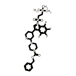 C[Si](C)(C)CCS(=O)(=O)n1cc(C2CC[N]C(N3CCN(C(=O)OCc4ccccc4)CC3)C2)c2c(F)c(F)c(F)c(F)c21